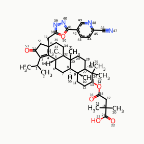 CC(C)C1=C2[C@H]3CC[C@@H]4[C@@]5(C)CC[C@H](OC(=O)CC(C)(C)C(=O)O)C(C)(C)[C@@H]5CC[C@@]4(C)[C@]3(C)CC[C@@]2(Cc2nnc(-c3ccc(C#N)nc3)o2)CC1=O